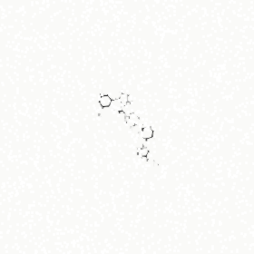 N#Cc1cn(-c2ccnc(N3CCN(C(=O)N4N=CCC4c4cc(F)cc(F)c4)CC3)n2)cn1